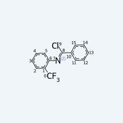 FC(F)(F)c1ccccc1/N=C(\Cl)c1ccccc1